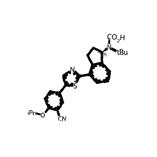 CC(C)Oc1ccc(-c2cnc(-c3cccc4c3CC[C@H]4N(C(=O)O)C(C)(C)C)s2)cc1C#N